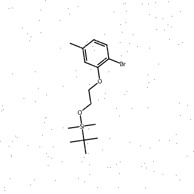 Cc1ccc(Br)c(OCCO[Si](C)(C)C(C)(C)C)c1